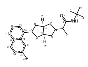 CC(C(=O)NC(C)(C)C)C1C[C@@H]2C[C@H](c3ccnc4ccc(F)cc34)C[C@@H]2C1